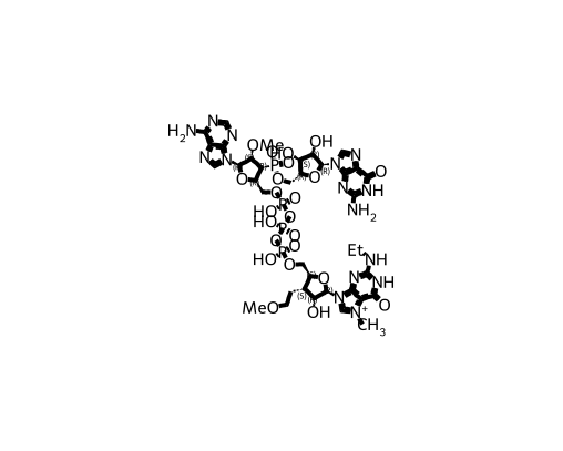 CCNc1nc2c(c(=O)[nH]1)[n+](C)cn2[C@@H]1O[C@H](COP(=O)(O)OP(=O)(O)OP(=O)(O)OC[C@H]2O[C@@H](n3cnc4c(N)ncnc43)[C@H](OC)[C@@H]2P(=O)([O-])OC[C@H]2O[C@@H](n3cnc4c(=O)[nH]c(N)nc43)[C@H](O)[C@@H]2O)[C@@H](CCOC)[C@H]1O